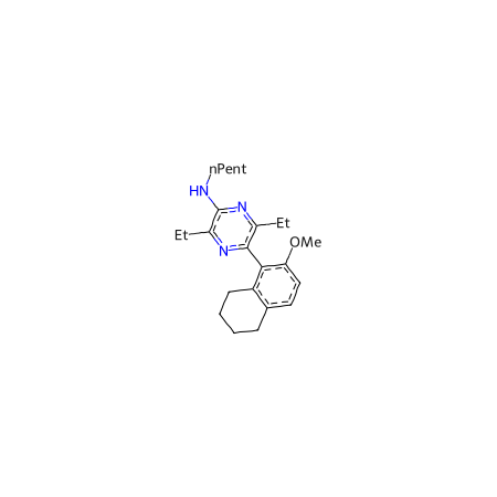 CCCCCNc1nc(CC)c(-c2c(OC)ccc3c2CCCC3)nc1CC